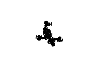 COc1cc(-c2cc(Cl)cc(-c3oc(CCCc4c[nH]c5ccccc45)nc3-c3cc(Cl)cc(-c4cc(-c5oc(CCCc6c[nH]c7ccccc67)nc5-c5ccc(F)cc5)ccc4F)c3)c2)cc(-c2nc(CCCc3c[nH]c4ccccc34)oc2-c2cccc(OC)c2)c1